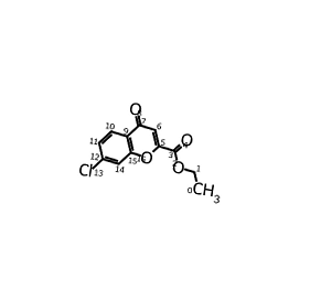 CCOC(=O)c1cc(=O)c2ccc(Cl)cc2o1